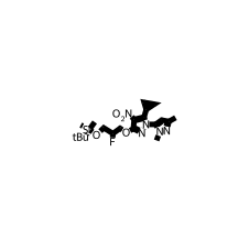 Cc1cc(-n2nc(OCC(F)CO[Si](C)(C)C(C)(C)C)c([N+](=O)[O-])c2C2CC2)n(C)n1